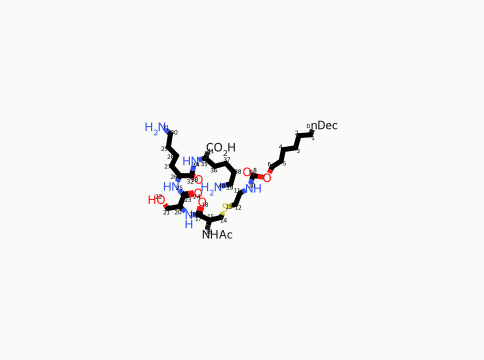 CCCCCCCCCCCCCCCCOC(=O)NCCSCC(NC(C)=O)C(=O)NC(CO)C(=O)NC(CCCCN)C(=O)NC(CCCCN)C(=O)O